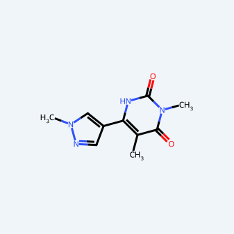 Cc1c(-c2cnn(C)c2)[nH]c(=O)n(C)c1=O